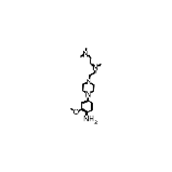 COc1cc(N2CCN(CCN(C)CCN(C)C)CC2)ccc1N